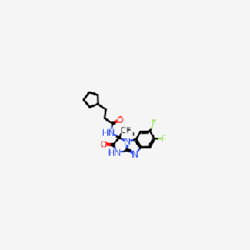 O=C(CCC1CCCC1)NC1(C(F)(F)F)C(=O)Nc2nc3cc(F)c(F)cc3n21